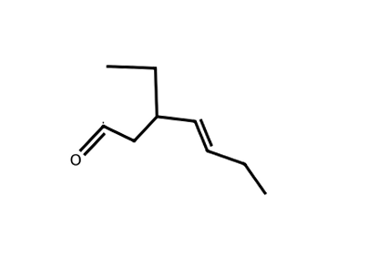 CC/C=C/C(CC)C[C]=O